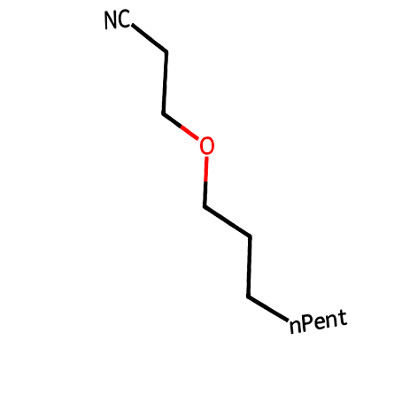 CCCCCCCCOCCC#N